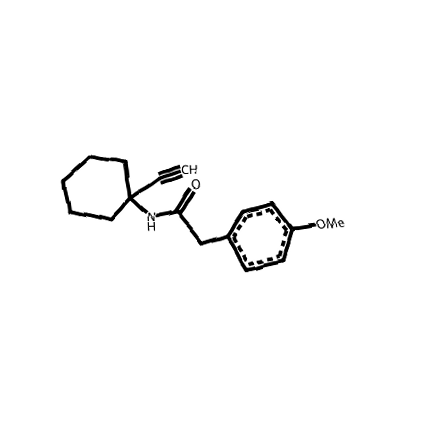 C#CC1(NC(=O)Cc2ccc(OC)cc2)CCCCC1